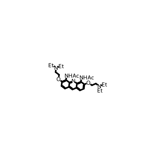 CCN(CC)CCOc1ccc2cc3ccc(OCCN(CC)CC)c(NC(C)=O)c3nc2c1NC(C)=O